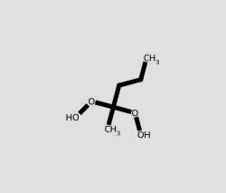 CCCC(C)(OO)OO